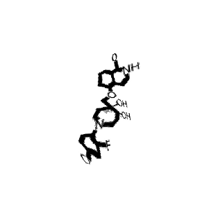 O=c1[nH]ccc2c(OC[C@]3(O)CCN(c4ccc(Cl)cc4F)C[C@H]3O)cccc12